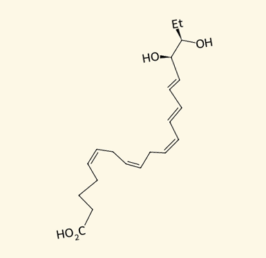 CC[C@@H](O)[C@H](O)/C=C/C=C/C=C\C/C=C\C/C=C\CCCC(=O)O